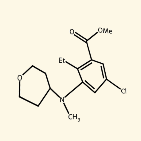 CCc1c(C(=O)OC)cc(Cl)cc1N(C)C1CCOCC1